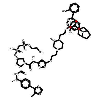 Cc1ncsc1-c1ccc([C@H](C)NC(=O)[C@@H]2C[C@@H](OP(=O)(O)OP(=O)(O)OCCN)CN2C(=O)[C@@H](c2cc(OCCN3CCN(CCOc4cc(N5C6CCC5CN(c5cc(-c7ccccc7O)nnc5N)C6)ccn4)[C@H](C)C3)no2)C(C)C)cc1